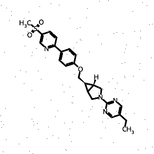 CCc1cnc(N2CC3[C@@H](COc4ccc(-c5ccc(S(C)(=O)=O)cn5)cc4)[C@@H]3C2)nc1